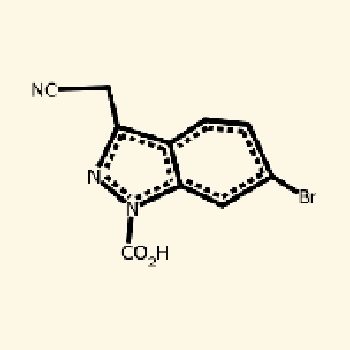 N#CCc1nn(C(=O)O)c2cc(Br)ccc12